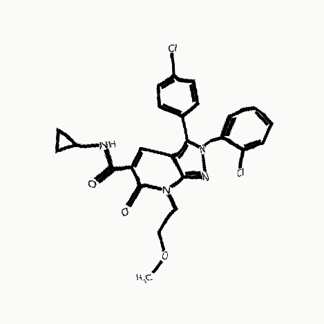 COCCn1c(=O)c(C(=O)NC2CC2)cc2c(-c3ccc(Cl)cc3)n(-c3ccccc3Cl)nc21